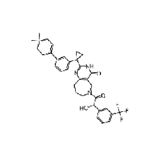 CC1(C)CC=C(c2cccc(C3(c4nc5c(c(=O)[nH]4)CN(C(=O)C(O)c4cccc(C(F)(F)F)c4)CCC5)CC3)c2)CC1